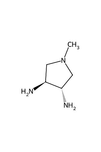 CN1C[C@H](N)[C@@H](N)C1